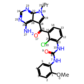 COc1ccccc1NC(=O)Nc1cccc(C(=O)c2cn(C(C)C)c3ncnc(N)c23)c1Cl